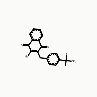 CCC1=C(Cc2ccc(C(F)(F)C(F)(F)F)cn2)C(=O)c2ccccc2C1=O